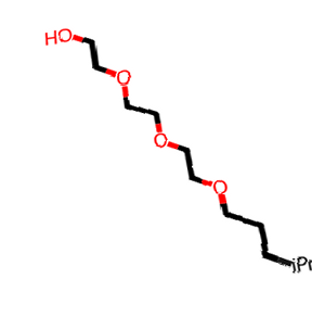 CC(C)CCCOCCOCCOCCO